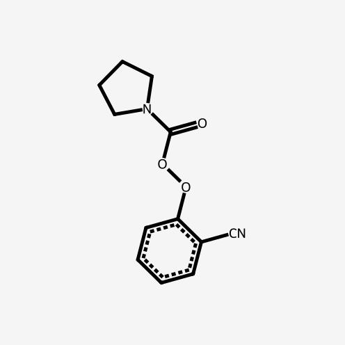 N#Cc1ccccc1OOC(=O)N1CCCC1